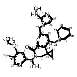 CCOc1cc(C(C)N2CC3(CC3)c3c(CN4C=CC=CC4)cc(Cn4ccnc4NC)cc3C2=O)ncc1F